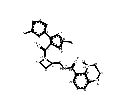 Cc1cccc(-c2sc(C)nc2C(=O)N2CCC2CNC(=O)c2cccc3c2N(C)CCO3)c1